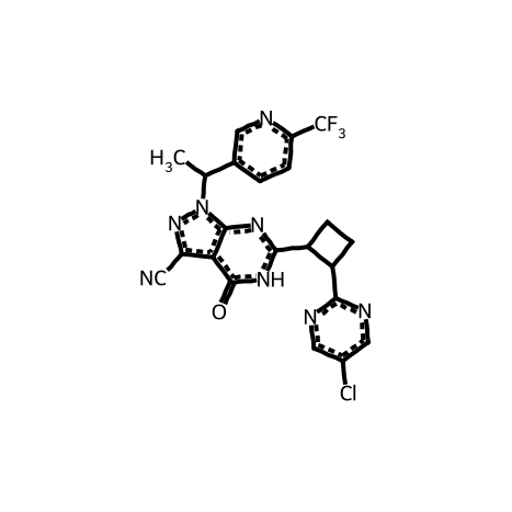 CC(c1ccc(C(F)(F)F)nc1)n1nc(C#N)c2c(=O)[nH]c(C3CCC3c3ncc(Cl)cn3)nc21